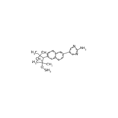 CC(C)(C)C(c1ccc2cc(-c3cnc(N)nc3)ccc2c1)C(C)(C)O[SiH3]